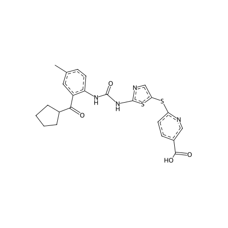 Cc1ccc(NC(=O)Nc2ncc(Sc3ccc(C(=O)O)cn3)s2)c(C(=O)C2CCCC2)c1